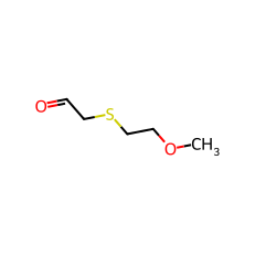 COCCSCC=O